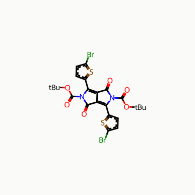 CC(C)(C)OC(=O)N1C(=O)C2=C(c3ccc(Br)s3)N(C(=O)OC(C)(C)C)C(=O)C2=C1c1ccc(Br)s1